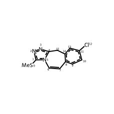 CSc1nnc2n1C=Cc1ccc(Cl)cc1C2